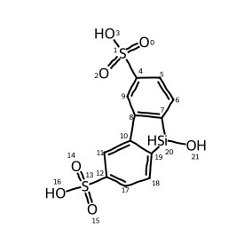 O=S(=O)(O)c1ccc2c(c1)-c1cc(S(=O)(=O)O)ccc1[SiH]2O